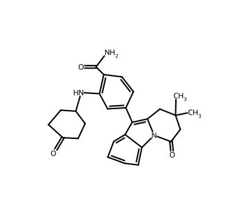 CC1(C)CC(=O)n2c(c(-c3ccc(C(N)=O)c(NC4CCC(=O)CC4)c3)c3ccccc32)C1